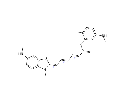 C=C(/C=C/C=C/C=C1\Sc2cc(NC)ccc2N1C)Sc1cc(NC)ccc1C